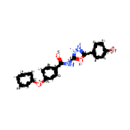 O=C(Nc1nnc(-c2ccc(Br)cc2)o1)c1ccc(Oc2ccccc2)cc1